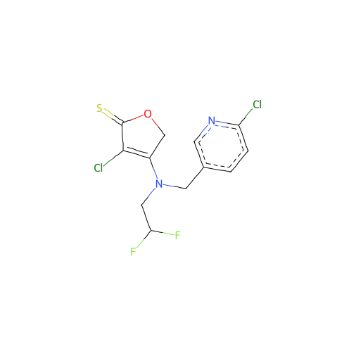 FC(F)CN(Cc1ccc(Cl)nc1)C1=C(Cl)C(=S)OC1